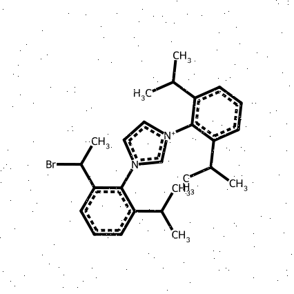 CC(C)c1cccc(C(C)Br)c1-n1cc[n+](-c2c(C(C)C)cccc2C(C)C)c1